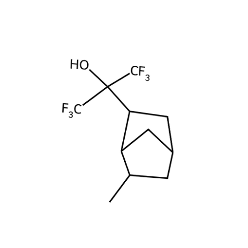 CC1CC2CC1C(C(O)(C(F)(F)F)C(F)(F)F)C2